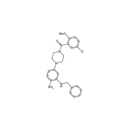 COc1ccc(Cl)cc1C(=O)N1CCN(c2ccc([N+](=O)[O-])c(NCc3ccccc3)c2)CC1